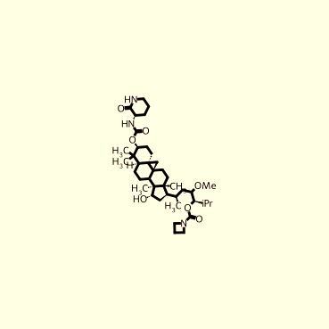 COC(C[C@@H](C)[C@H]1C[C@H](O)[C@@]2(C)C3CC[C@H]4C(C)(C)[C@@H](OC(=O)N[C@H]5CCCNC5=O)CC[C@@]45C[C@@]35CC[C@]12C)[C@H](OC(=O)N1CCC1)C(C)C